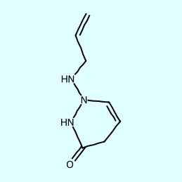 C=CCNN1C=CCC(=O)N1